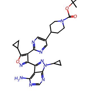 CC(C)(C)OC(=O)N1CCC(c2cnc(-c3c(-c4nn(C5CC5)c5ncnc(N)c45)noc3C3CC3)nc2)CC1